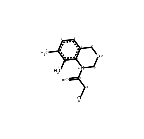 Cc1ccc2c(c1C)N(C(=O)CCl)COC2